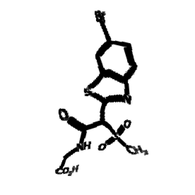 CS(=O)(=O)C(C(=O)NCC(=O)O)c1nc2ccc(Br)cc2s1